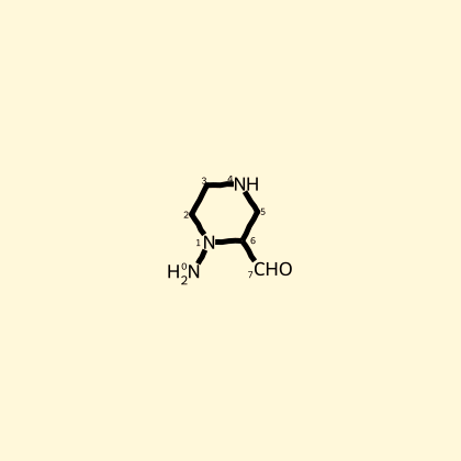 NN1CCNCC1C=O